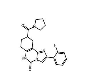 O=C(C1CCc2[nH]c(=O)n3cc(-c4ccccc4F)nc3c2C1)N1CCCC1